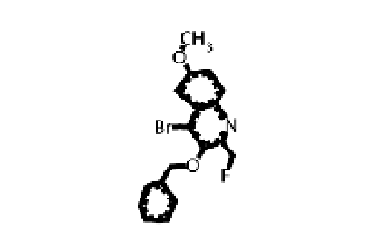 COc1ccc2nc(CF)c(OCc3ccccc3)c(Br)c2c1